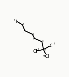 ClC(Cl)(Cl)CCCCCI